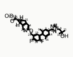 Cc1cc(-c2nnn(CC(C)(C)O)n2)cc(C)c1-c1cc(COc2cc3c(cn2)[C@H]2[C@@H](C3)[C@@H]2C(=O)OCC(C)C)c(F)cc1F